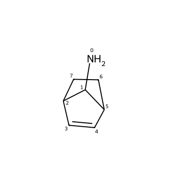 NC1C2C=CC1CC2